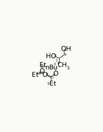 CC(O)CO.CCCCOC(=O)CC.CCOCC